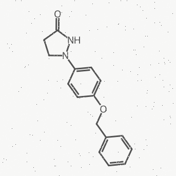 O=C1CCN(c2ccc(OCc3ccccc3)cc2)N1